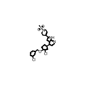 CS(=O)(=O)N1CC=C(c2cc3c(-c4ccc(OCc5cccc(Cl)c5)c(Cl)c4)ccnc3[nH]2)CC1